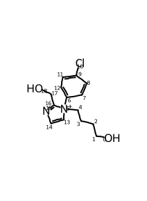 OCCCC[N+]1(c2ccc(Cl)cc2)C=CN=C1CO